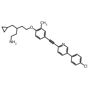 Cc1cc(C#Cc2ccc(-c3ccc(Cl)cc3)cn2)ccc1OCCC(CCN)CC1CC1